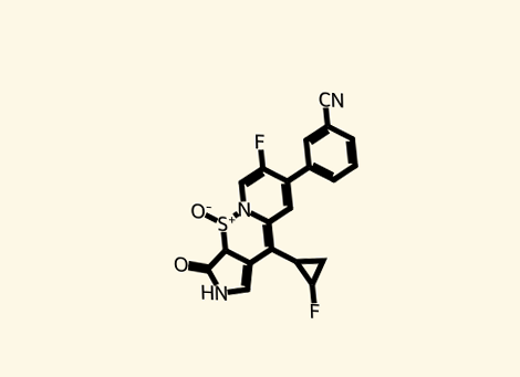 N#Cc1cccc(C2=CC3=C(C4CC4F)C4=CNC(=O)C4[S+]([O-])N3C=C2F)c1